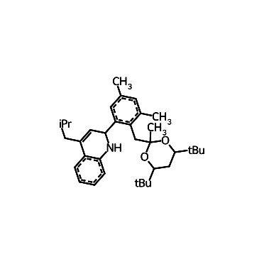 Cc1cc(C)c(CC2(C)OC(C(C)(C)C)CC(C(C)(C)C)O2)c(C2C=C(CC(C)C)c3ccccc3N2)c1